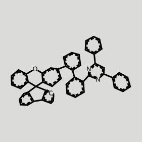 c1ccc(-c2cc(-c3ccccc3)nc(-c3ccccc3-c3ccccc3-c3ccc4c(c3)Oc3ccccc3C43c4ccccc4-c4ccccc43)n2)cc1